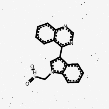 O=[SH](=O)Cn1cc(-c2ncnc3ccccc23)c2ccccc21